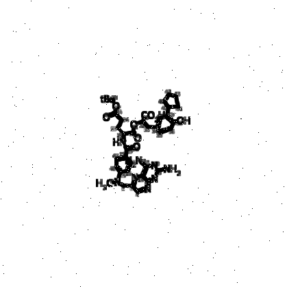 CN(Cc1cnc2nc(N)nc(N)c2n1)c1ccc(C(=O)N[C@@H](CCC(=O)OC(C)(C)C)C(=O)OC(Cc2ccc(O)c(C3CCCC3)c2)C(=O)O)cc1